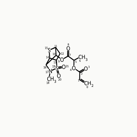 C=CC(=O)OC(C)C(=O)OC1C2CC3C(S2)C1N(C)S3(=O)=O